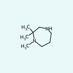 CN1CCCNCC1(C)C